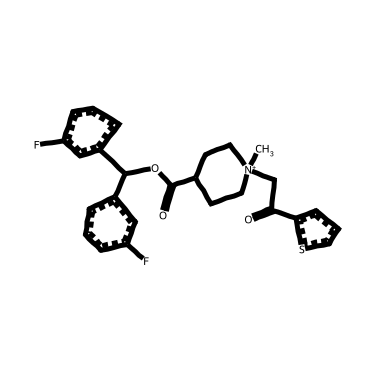 C[N+]1(CC(=O)c2cccs2)CCC(C(=O)OC(c2cccc(F)c2)c2cccc(F)c2)CC1